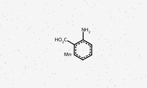 Nc1ccccc1C(=O)O.[Mn]